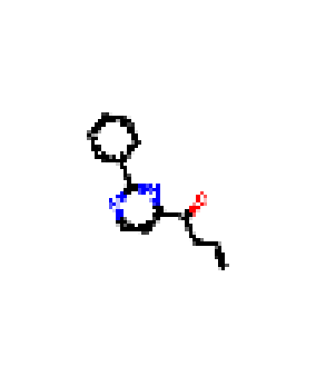 C=CCC(=O)c1ccnc(-c2ccccc2)n1